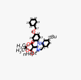 CCCCCCCN(Cc1ccc(C(C)(C)C)cc1)C(Nc1ccc(OCc2ccccc2)cc1)=C1C(=O)OC(C)(C)OC1=O